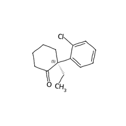 CC[C@@]1(c2ccccc2Cl)CCCCC1=O